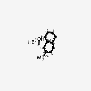 Br.CO.[Mg+2][c]1ccc2ccccc2c1